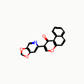 O=c1c(-c2cc3c(cn2)OCO3)coc2ccc3ccccc3c12